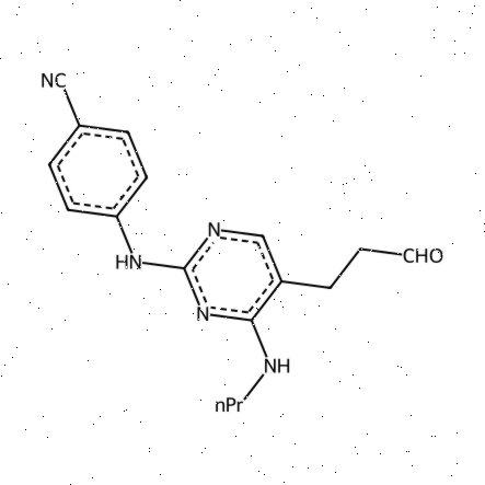 CCCNc1nc(Nc2ccc(C#N)cc2)ncc1CCC=O